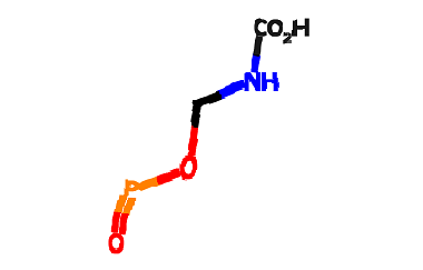 O=POCNC(=O)O